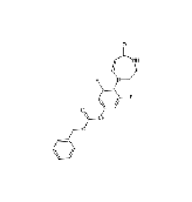 O=C1C=CN(c2c(F)cc(NC(=O)OCc3ccccc3)cc2F)CCN1